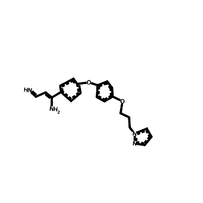 N=C/C=C(\N)c1ccc(Oc2ccc(OCCCn3cccn3)cc2)cc1